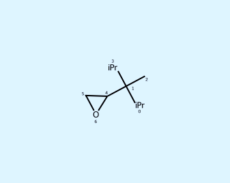 CC(C)C(C)(C(C)C)C1CO1